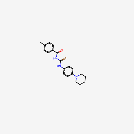 Cc1ccc(C(=O)NC(=S)Nc2ccc(N3CCCCC3)cc2)cc1